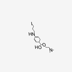 CN(C)CCOC(O)C1C=CC(NCCCI)=CC1